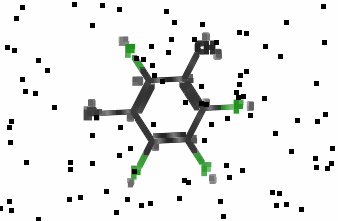 Cc1c(F)c(F)c(F)c(C(C)C)c1F